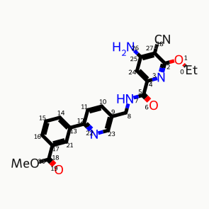 CCOc1nc(C(=O)NCc2ccc(-c3cccc(C(=O)OC)c3)nc2)cc(N)c1C#N